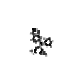 C=C/C(=C\C)N(c1ccccc1)c1ccc(C=C)cc1